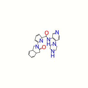 O=C(Nc1cnccc1N1CCNCC1)c1cccc(N2CC3C=CC=CC3CC2=O)n1